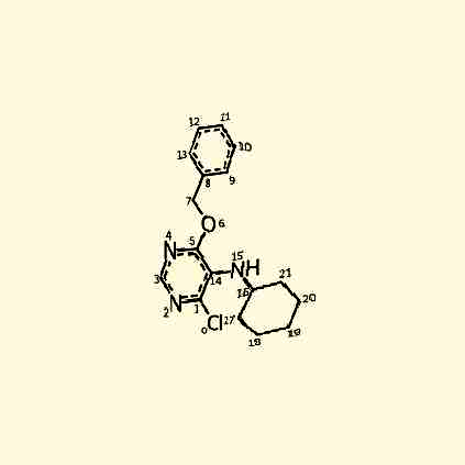 Clc1ncnc(OCc2ccccc2)c1NC1CCCCC1